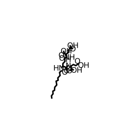 CCCCCCCCCCCCC(=O)NC(CCC(=O)NC(CCC(=O)O)C(=O)O)C(=O)NC(CCC(=O)O)C(=O)O